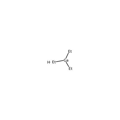 C[CH2][Ga]([CH2]C)[CH2]C.[H]